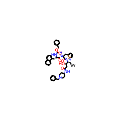 CC(C)C[C@H](NC(=O)C(Cc1cccs1)NC(=O)[C@H](Cc1cccc2ccccc12)NC(=O)OCc1ccccc1)[C@@H](O)CC(=O)NC1CCN(Cc2ccccc2)CC1